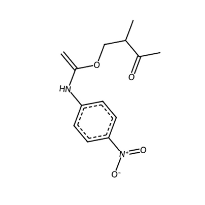 C=C(Nc1ccc([N+](=O)[O-])cc1)OCC(C)C(C)=O